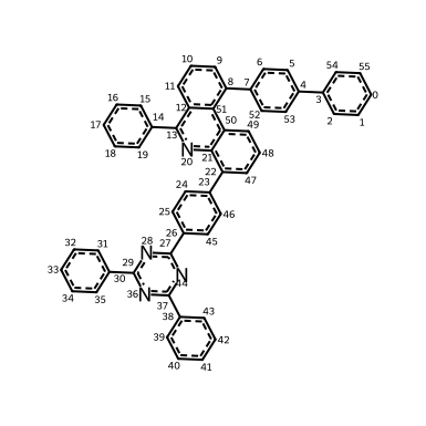 c1ccc(-c2ccc(-c3cccc4c(-c5ccccc5)nc5c(-c6ccc(-c7nc(-c8ccccc8)nc(-c8ccccc8)n7)cc6)cccc5c34)cc2)cc1